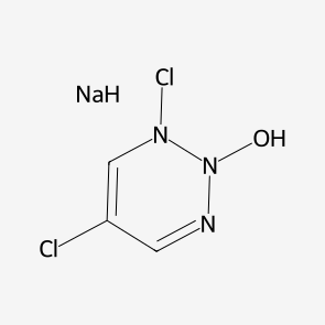 ON1N=CC(Cl)=CN1Cl.[NaH]